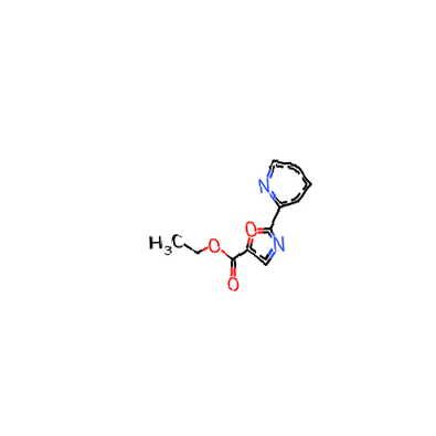 CCOC(=O)c1cnc(-c2ccccn2)o1